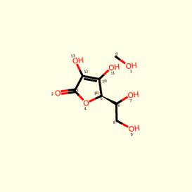 CO.O=C1O[C@H](C(O)CO)C(O)=C1O